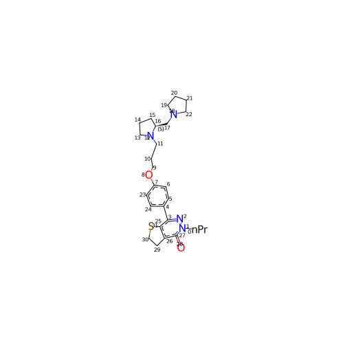 CCCn1nc(-c2ccc(OCCCN3CCC[C@H]3CN3CCCC3)cc2)c2c(c1=O)CCS2